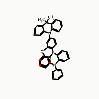 CC1(C)c2ccccc2N(c2ccc3c(c2)Oc2ccccc2B3c2ccccc2N(c2ccccc2)c2ccccn2)c2ccccc21